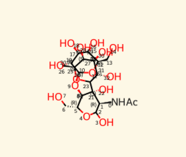 CC(=O)N[C@H]1C(O)O[C@H](CO)[C@@H](O[C@@H]2O[C@H](CO)[C@H](O)[C@H](O)[C@H]2O)[C@@]1(O)C1O[C@@H](C)[C@@H](O)[C@@H](O)[C@@H]1O